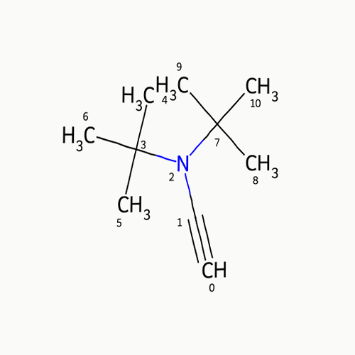 C#CN(C(C)(C)C)C(C)(C)C